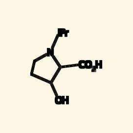 CC(C)N1CCC(O)C1C(=O)O